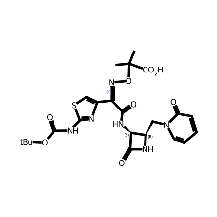 CC(C)(C)OC(=O)Nc1nc(/C(=N/OC(C)(C)C(=O)O)C(=O)N[C@@H]2C(=O)N[C@@H]2Cn2ccccc2=O)cs1